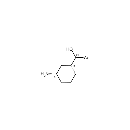 CC(=O)[C@H](O)[C@@H]1CCC[C@H](N)C1